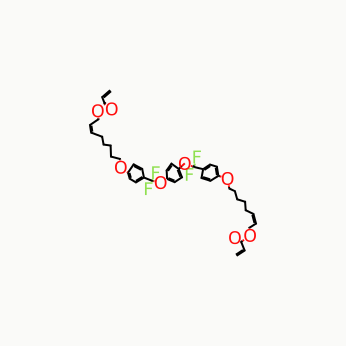 C=CC(=O)OC/C=C\CCCCCOc1ccc(C(F)(F)Oc2ccc(OC(F)(F)c3ccc(OCCCCC/C=C\COC(=O)C=C)cc3)cc2)cc1